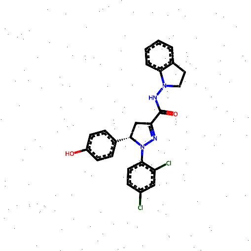 O=C(NN1CCc2ccccc21)C1=NN(c2ccc(Cl)cc2Cl)[C@H](c2ccc(O)cc2)C1